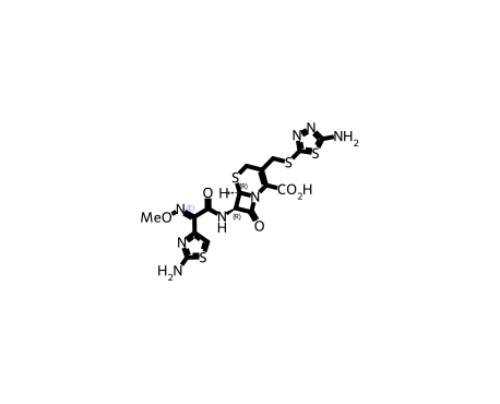 CO/N=C(/C(=O)N[C@@H]1C(=O)N2C(C(=O)O)=C(CSc3nnc(N)s3)CS[C@H]12)c1csc(N)n1